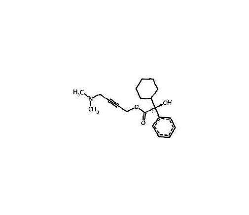 CN(C)CC#CCOC(=O)[C@@](O)(c1ccccc1)C1CCCCC1